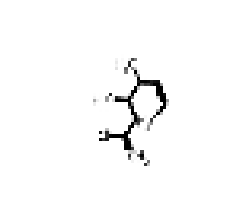 C=C(Cl)CC(C)[C@@H](C)/C=C\C